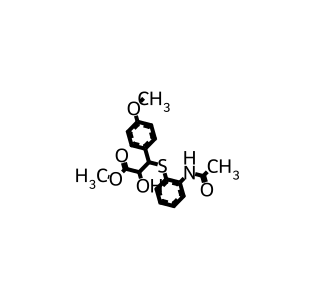 COC(=O)C(O)C(Sc1ccccc1NC(C)=O)c1ccc(OC)cc1